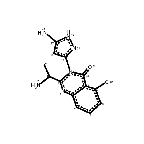 CC(N)c1nc2cccc(Cl)c2c(=O)n1-c1cc(N)[nH]n1